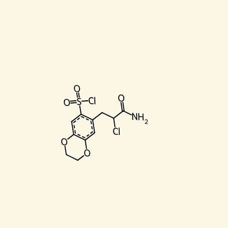 NC(=O)C(Cl)Cc1cc2c(cc1S(=O)(=O)Cl)OCCO2